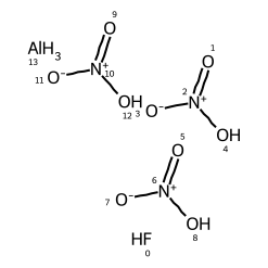 F.O=[N+]([O-])O.O=[N+]([O-])O.O=[N+]([O-])O.[AlH3]